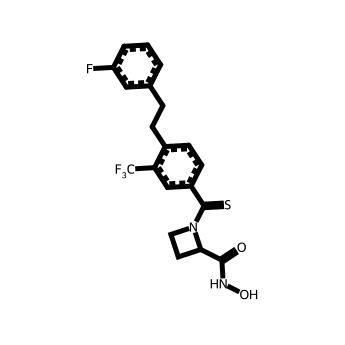 O=C(NO)C1CCN1C(=S)c1ccc(CCc2cccc(F)c2)c(C(F)(F)F)c1